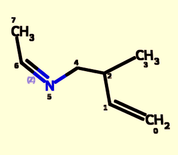 C=CC(C)C/N=C\C